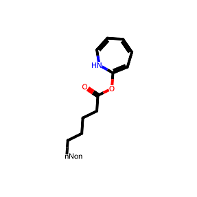 [CH2]CCCCCCCCCCCCC(=O)OC1=CC=CC=CN1